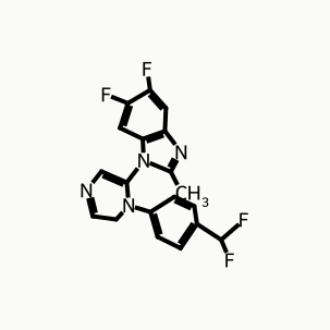 Cc1nc2cc(F)c(F)cc2n1C1=CN=CCN1c1ccc(C(F)F)cc1